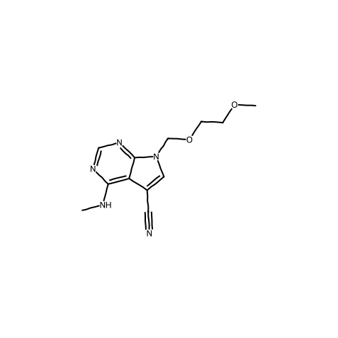 CNc1ncnc2c1c(C#N)cn2COCCOC